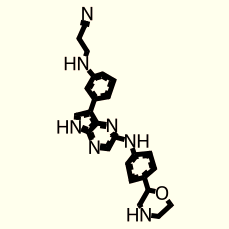 N#CCCNc1cccc(-c2c[nH]c3ncc(Nc4ccc(C5CNCCO5)cc4)nc23)c1